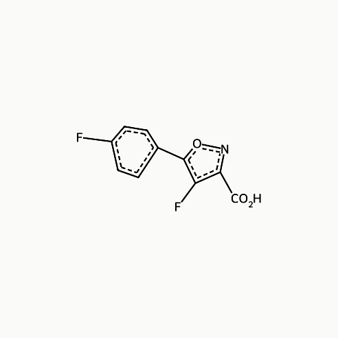 O=C(O)c1noc(-c2ccc(F)cc2)c1F